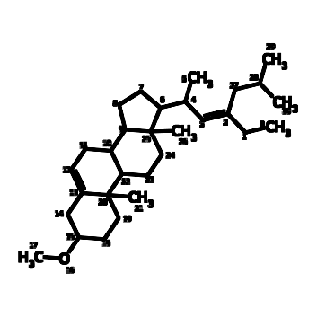 CC/C(=C/C(C)C1CCC2C3CC=C4CC(OC)CCC4(C)C3CCC12C)CC(C)C